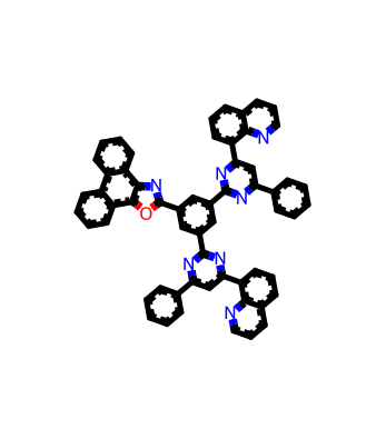 c1ccc(-c2cc(-c3cccc4cccnc34)nc(-c3cc(-c4nc(-c5ccccc5)cc(-c5cccc6cccnc56)n4)cc(-c4nc5c6ccccc6c6ccccc6c5o4)c3)n2)cc1